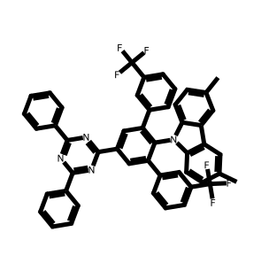 Cc1ccc2c(c1)c1cc(C)ccc1n2-c1c(-c2cccc(C(F)(F)F)c2)cc(-c2nc(-c3ccccc3)nc(-c3ccccc3)n2)cc1-c1cccc(C(F)(F)F)c1